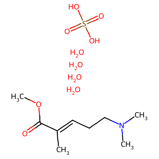 COC(=O)C(C)=CCCN(C)C.O.O.O.O.O=S(=O)(O)O